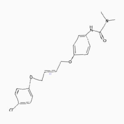 CN(C)C(=O)Nc1ccc(OC/C=C/COc2ccc(Cl)cc2)cc1